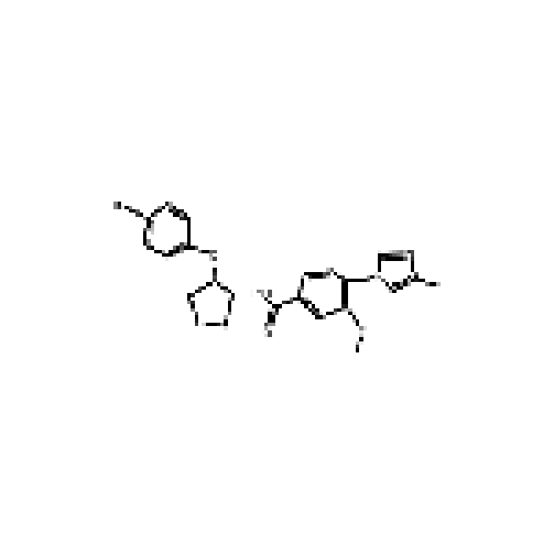 COc1cc(C(=O)N[C@@H]2COC[C@@H]2Oc2ccc(Br)cc2)ccc1-n1cnc(C)c1